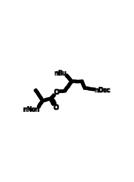 CCCCCCCCCCCCC(CCCC)COC(=O)C(C)CCCCCCCCC